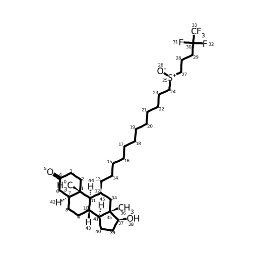 C[C@]12CCC(=O)C[C@@H]1CC[C@@H]1[C@@H]2[C@@H](CCCCCCCCCCCC[S+]([O-])CCCC(F)(F)C(F)(F)F)C[C@]2(C)[C@@H](O)CC[C@@H]12